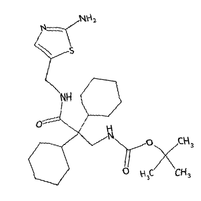 CC(C)(C)OC(=O)NCC(C(=O)NCc1cnc(N)s1)(C1CCCCC1)C1CCCCC1